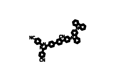 N#Cc1ccc(-c2cc(-c3ccc(-c4ccc(-c5ccc(-n6c7ccccc7c7cc(-n8c9ccccc9c9ccccc98)ccc76)cc5)c(C#N)c4)cc3)nc(-c3ccc(C#N)cc3)n2)cc1